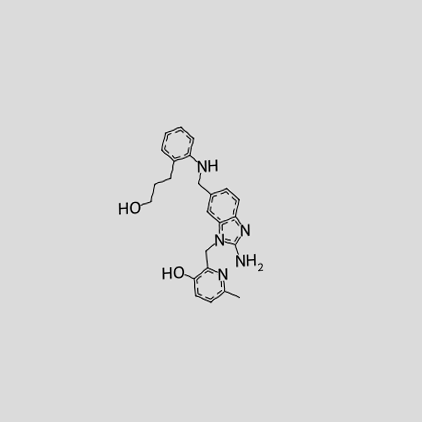 Cc1ccc(O)c(Cn2c(N)nc3ccc(CNc4ccccc4CCCO)cc32)n1